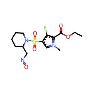 CCOC(=O)c1c(F)c(S(=O)(=O)N2CCCCC2CN=O)cn1C